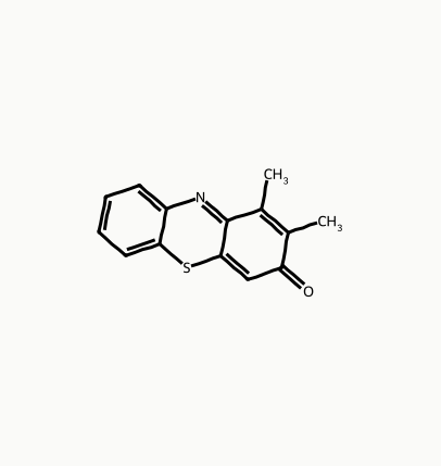 Cc1c2nc3ccccc3sc-2cc(=O)c1C